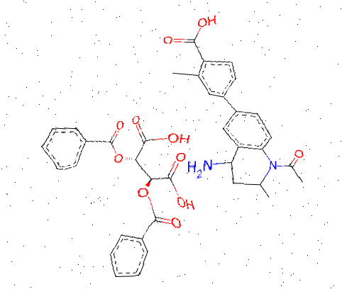 CC(=O)N1c2ccc(-c3ccc(C(=O)O)c(C)c3)cc2C(N)CC1C.O=C(O[C@H](C(=O)O)[C@H](OC(=O)c1ccccc1)C(=O)O)c1ccccc1